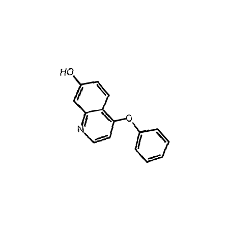 Oc1ccc2c(Oc3ccccc3)ccnc2c1